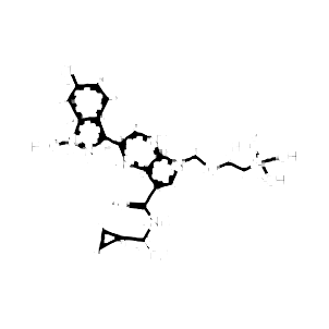 C[C@H](NC(=O)c1cn(COCC[Si](C)(C)C)c2ncc(-c3nn(C)c4cc(Cl)ccc34)nc12)C1CC1